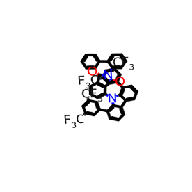 O=C1c2cccc(-n3c4c(-c5cc(C(F)(F)F)cc(C(F)(F)F)c5)cccc4c4cccc(-c5cc(C(F)(F)F)cc(C(F)(F)F)c5)c43)c2C(=O)N1c1ccccc1-c1ccccc1